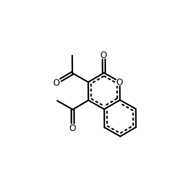 CC(=O)c1c(C(C)=O)c2ccccc2oc1=O